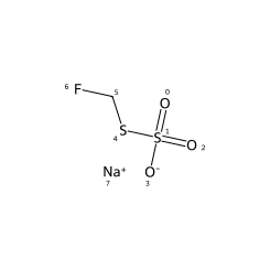 O=S(=O)([O-])SCF.[Na+]